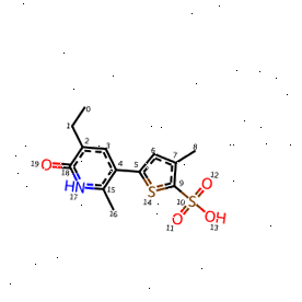 CCc1cc(-c2cc(C)c(S(=O)(=O)O)s2)c(C)[nH]c1=O